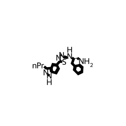 CCCc1n[nH]c2ccc(-c3nnc(N[C@H](CN)Cc4ccccc4)s3)cc12